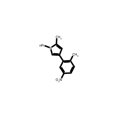 CCCn1cc(-c2cc([N+](=O)[O-])ccc2C)cc1C